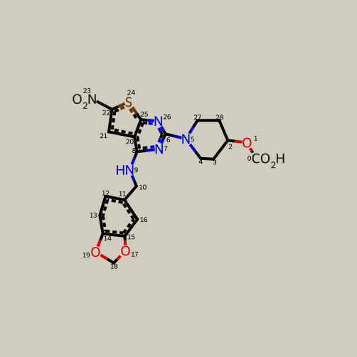 O=C(O)OC1CCN(c2nc(NCc3ccc4c(c3)OCO4)c3cc([N+](=O)[O-])sc3n2)CC1